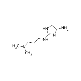 CN(C)CCCNC1=NC(N)CN1